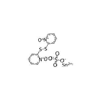 O=S(=O)([O-])[O-].[O-][n+]1ccccc1SSc1cccc[n+]1[O-].[Sn+2]